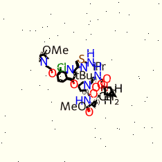 C=C[C@@H]1CC1(NC(=O)[C@@H]1CC(Oc2cc(-c3csc(NC(C)C)n3)nc3c(Cl)c(OCCN4CC[C@@H](OC)C4)ccc23)CN1C(O)[C@@H](NC(=O)O[C@@H]1C[C@@H]2C[C@@H]2C1)C(C)(C)C)C(=O)OC